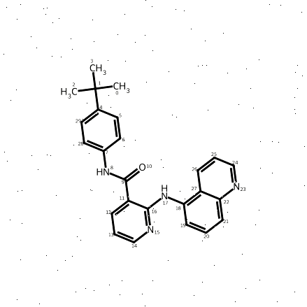 CC(C)(C)c1ccc(NC(=O)c2cccnc2Nc2cccc3ncccc23)cc1